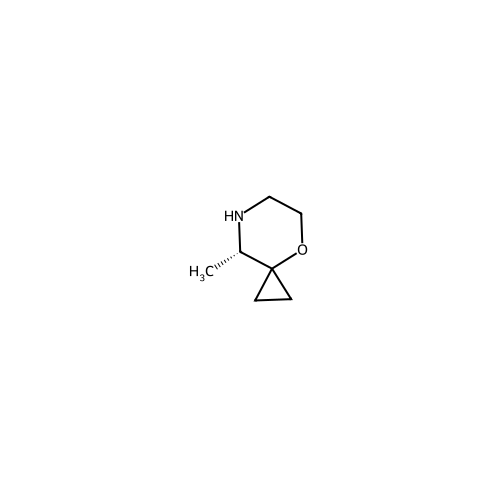 C[C@@H]1NCCOC12CC2